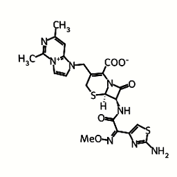 CO/N=C(\C(=O)N[C@@H]1C(=O)N2C(C(=O)[O-])=C(Cn3cc[n+]4c(C)nc(C)cc34)CS[C@H]12)c1csc(N)n1